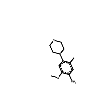 COc1cc(N2CCOCC2)c(C)cc1N